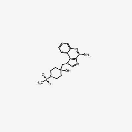 CS(=O)(=O)N1CCC(O)(Cn2cnc3c(N)nc4ccccc4c32)CC1